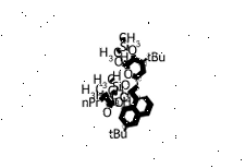 CCCC(C)(C)C(=O)O[C@H]1C[C@H](C(C)(C)C)C=C2C=CC[C@H]([C@](C)(C[C@H]3C[C@H](C(C)(C)C)C(O[SiH](C)C)C(=O)O3)O[SiH](C)C)[C@H]21